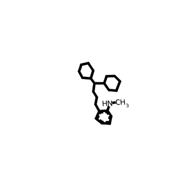 CNc1ccccc1CCCC(C1CCCCC1)C1CCCCC1